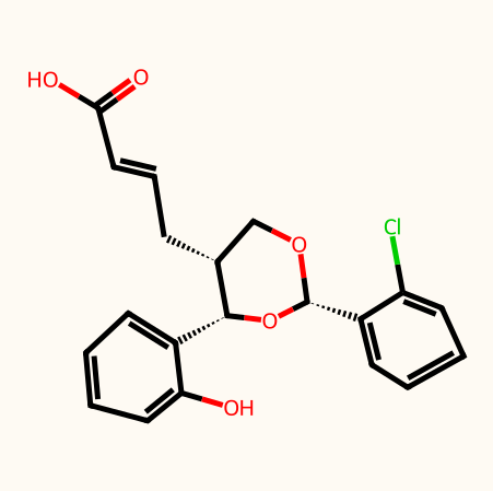 O=C(O)/C=C/C[C@@H]1CO[C@H](c2ccccc2Cl)O[C@@H]1c1ccccc1O